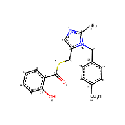 CCCCc1ncc(CSC(=O)c2ccccc2O)n1Cc1ccc(C(=O)O)cc1